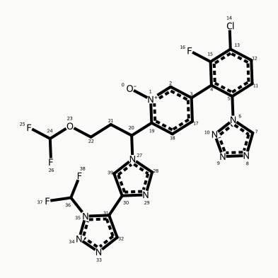 [O-][n+]1cc(-c2c(-n3cnnn3)ccc(Cl)c2F)ccc1C(CCOC(F)F)n1cnc(-c2cnnn2C(F)F)c1